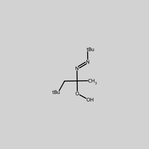 CC(C)(C)CC(C)(/N=N/C(C)(C)C)OO